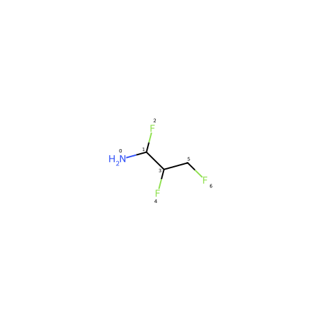 NC(F)C(F)CF